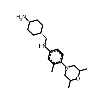 Cc1cc(NC[C@H]2CC[C@H](N)CC2)ccc1N1CC(C)OC(C)C1